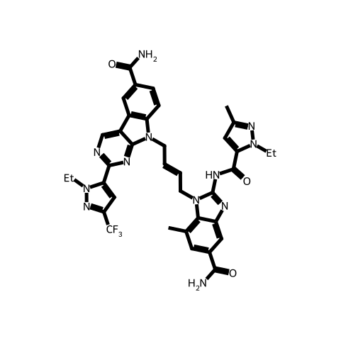 CCn1nc(C)cc1C(=O)Nc1nc2cc(C(N)=O)cc(C)c2n1C/C=C/Cn1c2ccc(C(N)=O)cc2c2cnc(-c3cc(C(F)(F)F)nn3CC)nc21